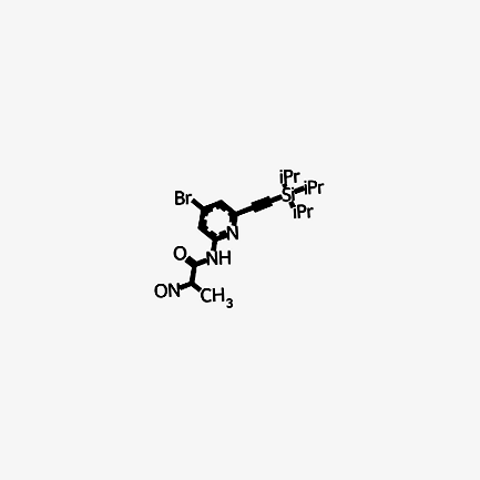 CC(N=O)C(=O)Nc1cc(Br)cc(C#C[Si](C(C)C)(C(C)C)C(C)C)n1